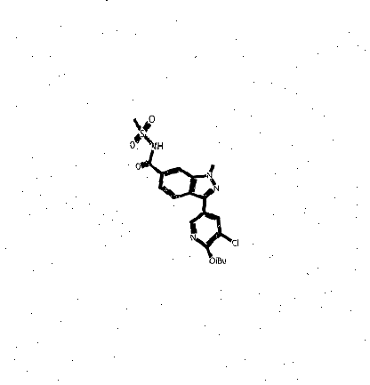 CC(C)COc1ncc(-c2nn(C)c3cc(C(=O)NS(C)(=O)=O)ccc23)cc1Cl